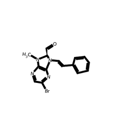 CN1c2ncc(Br)nc2N(C=Cc2ccccc2)[C@@H]1C=O